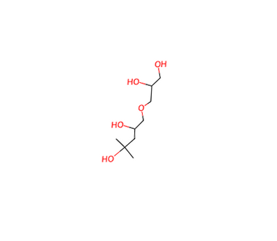 CC(C)(O)CC(O)COCC(O)CO